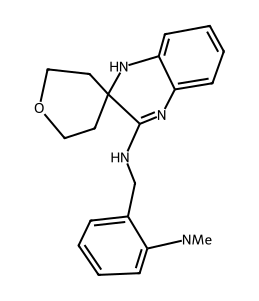 CNc1ccccc1CNC1=Nc2ccccc2NC12CCOCC2